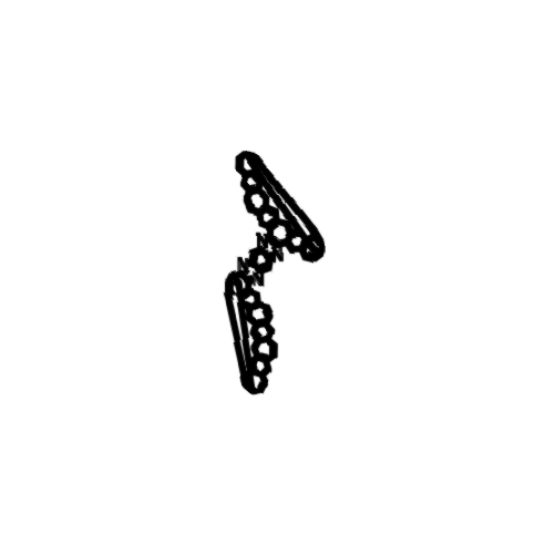 C1=CC2CC3=C4C=C2CC2=C1CC1C=CC5=C(C=C6CC7=C(CC(C=C3)C(=C7)C4)c3nc4cc7nc8c(nc7cc4nc3C6C5)C3=C4C=C5CC6=C(C=CC5C3)CC3C=CC5=C(C=C7CC9=C(C=CC7C5)CC8C(=C9)C4)CC3=C6)CC1=C2